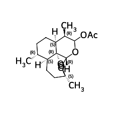 CC(=O)OC1O[C@@H]2O[C@]3(C)CC[C@H]4[C@H](C)CC[C@@H]([C@H]1C)[C@@]24OO3